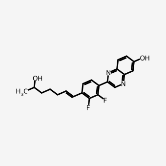 CC(O)CCCC=Cc1ccc(-c2cnc3cc(O)ccc3n2)c(F)c1F